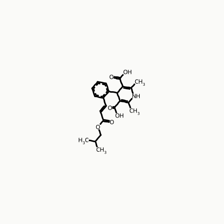 CC1=C(C(=O)O)C(c2ccccc2/C=C/C(=O)OCC(C)C)C(C(=O)O)=C(C)N1